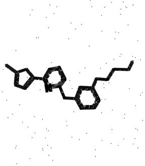 CCCCCc1cccc(Cc2cccc(C3=CC=C(C)C3)n2)c1